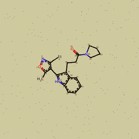 CCc1noc(C)c1-c1[nH]c2ccccc2c1CCC(=O)N1CCCC1